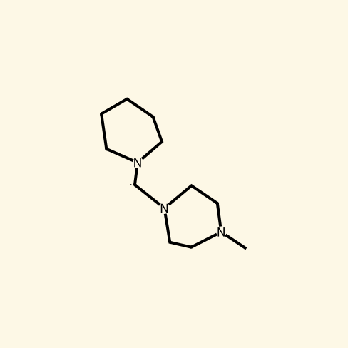 CN1CCN([CH]N2CCCCC2)CC1